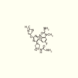 Cc1ncc(Oc2nc(N3C[C@H](NC(=O)CN)C4(CC4)C3)c3c(n2)[nH]c2c(N(C)C(=O)CN)cc(F)cc23)cn1